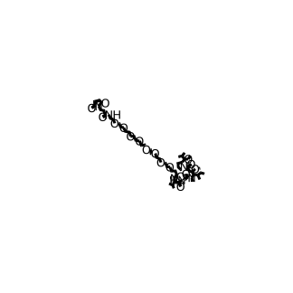 CCC(C)C(C(CC(=O)N1CCCC1C(OC)C(C)C)OC)N(C)C(=O)CNC(=O)C(C(C)C)N(C)C(=O)CCOCCOCCOCCOCCOCCOCCOCCOCCNC(=O)CCN1C(=O)C=CC1=O